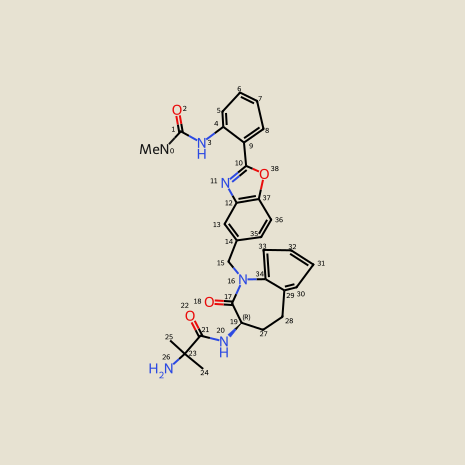 CNC(=O)Nc1ccccc1-c1nc2cc(CN3C(=O)[C@H](NC(=O)C(C)(C)N)CCc4ccccc43)ccc2o1